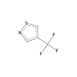 FC(F)(F)c1[c]snc1